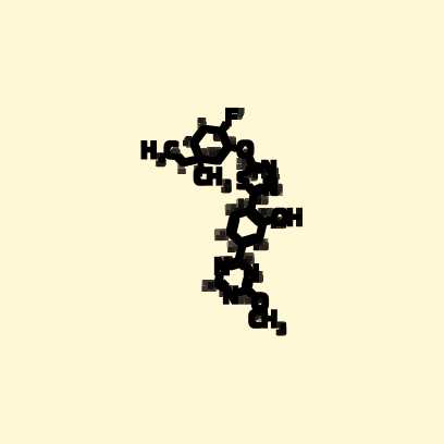 CC[C@@]1(C)CC[C@@H](F)[C@@H](Oc2nnc(-c3ccc(-c4ncnc(OC)n4)cc3O)s2)C1